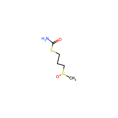 C[S+]([O-])CCCSC(N)=O